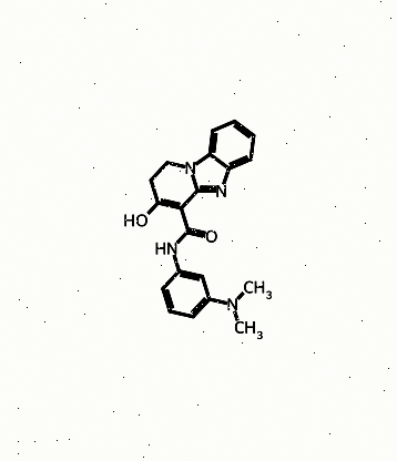 CN(C)c1cccc(NC(=O)C2=C(O)CCn3c2nc2ccccc23)c1